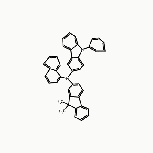 CC1(C)c2ccccc2-c2ccc(N(c3ccc4c(c3)c3ccccc3n4-c3ccccc3)c3cccc4ccccc34)cc21